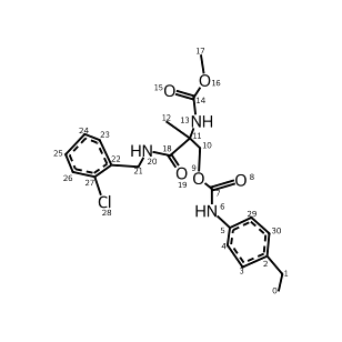 CCc1ccc(NC(=O)OCC(C)(NC(=O)OC)C(=O)NCc2ccccc2Cl)cc1